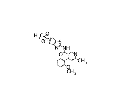 COc1ccccc1-c1cc(C)ncc1C(=O)Nc1nc2c(s1)CN(S(C)(=O)=O)C2